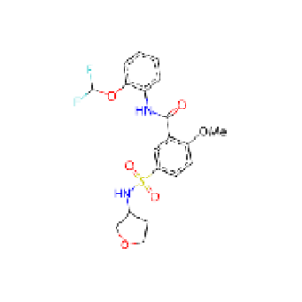 COc1ccc(S(=O)(=O)NC2CCOC2)cc1C(=O)Nc1ccccc1OC(F)F